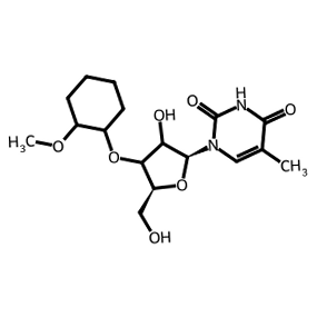 COC1CCCCC1OC1C(O)[C@@H](n2cc(C)c(=O)[nH]c2=O)O[C@H]1CO